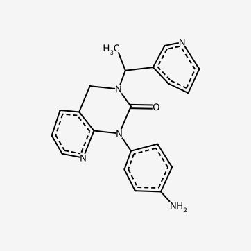 CC(c1cccnc1)N1Cc2cccnc2N(c2ccc(N)cc2)C1=O